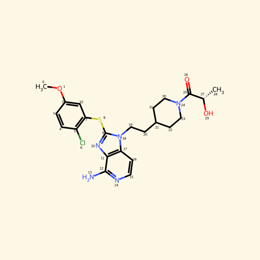 COc1ccc(Cl)c(Sc2nc3c(N)nccc3n2CCC2CCN(C(=O)[C@H](C)O)CC2)c1